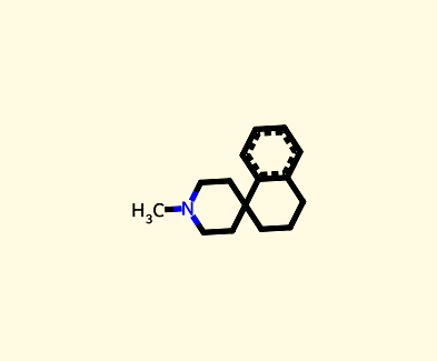 CN1CCC2(CCCc3ccccc32)CC1